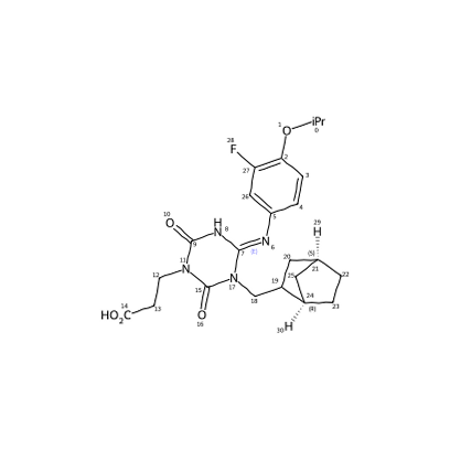 CC(C)Oc1ccc(/N=c2\[nH]c(=O)n(CCC(=O)O)c(=O)n2CC2C[C@H]3CC[C@@H]2C3)cc1F